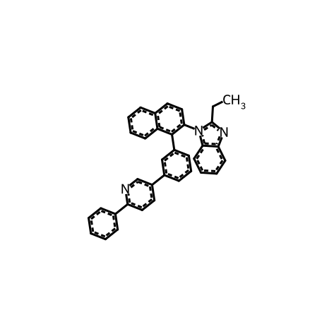 CCc1nc2ccccc2n1-c1ccc2ccccc2c1-c1cccc(-c2ccc(-c3ccccc3)nc2)c1